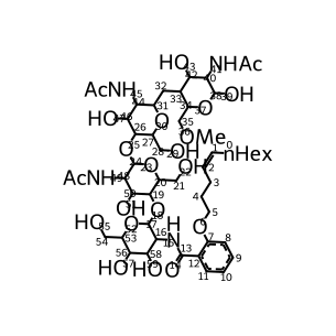 CCCCCC/C=C\CCCOc1ccccc1C(=O)NC1C(OC2C(CO)OC(OC3C(CO)OC(CC4C(COC)OC(O)C(NC(C)=O)C4O)C(NC(C)=O)C3O)C(NC(C)=O)C2O)OC(CO)C(O)C1O